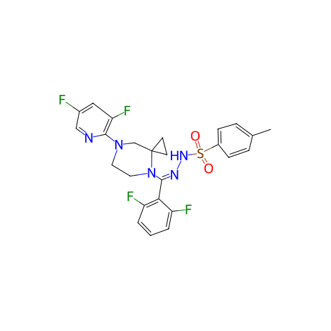 Cc1ccc(S(=O)(=O)N/N=C(/c2c(F)cccc2F)N2CCN(c3ncc(F)cc3F)CC23CC3)cc1